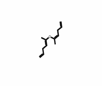 C=CCC=C(C)OC(C)=CCC=C